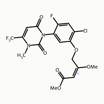 COC(=O)/C=C(\COc1cc(-n2c(=O)cc(C(F)(F)F)n(C)c2=O)c(F)cc1Cl)OC